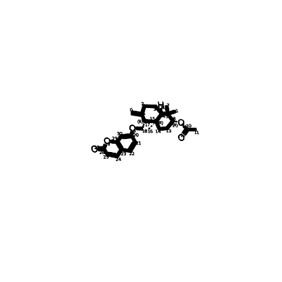 C=C1CC[C@@H]2C(C)(C)[C@H](OC(C)=O)CC[C@@]2(C)[C@@H]1COc1ccc2ccc(=O)oc2c1